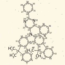 CC1(C)c2ccccc2-c2c1ccc1c2c2c3c(ccc2n1-c1cnc(-c2ccccc2)nc1-c1ccccc1)-c1ccccc1C3(C)C